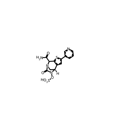 NC(=O)C1c2sc(-c3cccnc3)cc2[C@H]2CN1C(=O)N2OS(=O)(=O)O